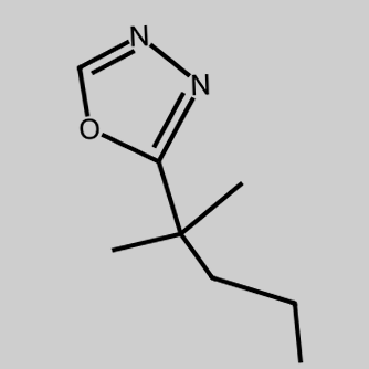 CCCC(C)(C)c1nnco1